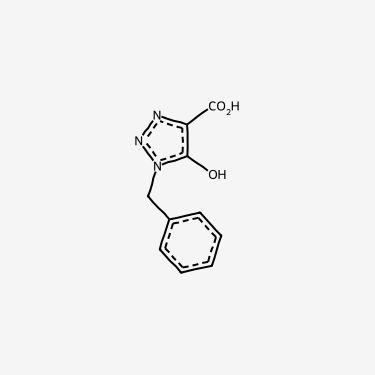 O=C(O)c1nnn(Cc2ccccc2)c1O